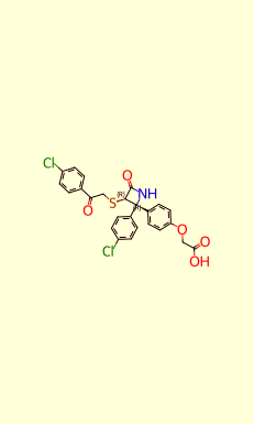 O=C(O)COc1ccc([C@]2(c3ccc(Cl)cc3)NC(=O)[C@@H]2SCC(=O)c2ccc(Cl)cc2)cc1